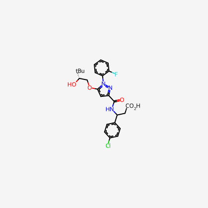 CC(C)(C)[C@@H](O)COc1cc(C(=O)NC(CC(=O)O)c2ccc(Cl)cc2)nn1-c1ccccc1F